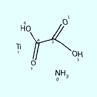 N.O=C(O)C(=O)O.[Ti]